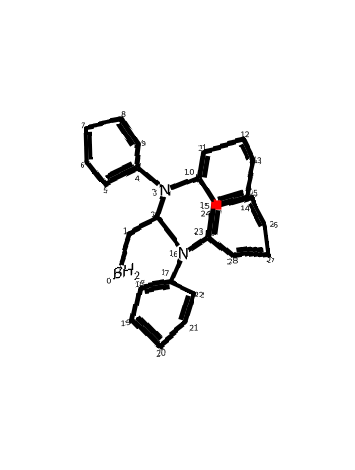 BCC(N(c1ccccc1)c1ccccc1)N(c1ccccc1)c1ccccc1